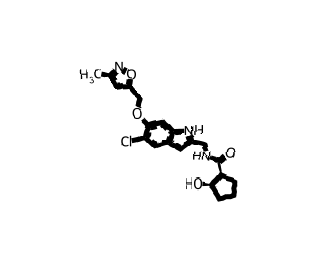 Cc1cc(COc2cc3[nH]c(CNC(=O)[C@H]4CCC[C@H]4O)cc3cc2Cl)on1